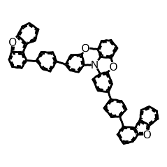 c1cc2c3c(c1)Oc1cc(-c4ccc(-c5cccc6oc7ccccc7c56)cc4)ccc1N3c1ccc(-c3ccc(-c4cccc5oc6ccccc6c45)cc3)cc1O2